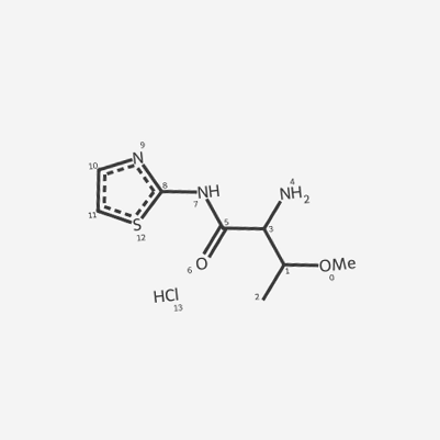 COC(C)C(N)C(=O)Nc1nccs1.Cl